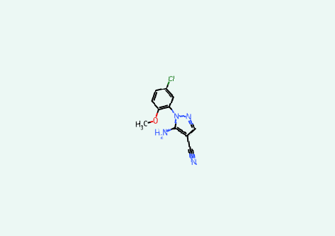 COc1ccc(Cl)cc1-n1ncc(C#N)c1N